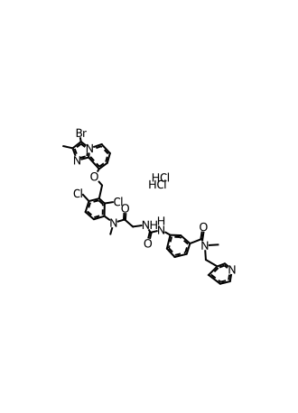 Cc1nc2c(OCc3c(Cl)ccc(N(C)C(=O)CNC(=O)Nc4cccc(C(=O)N(C)Cc5cccnc5)c4)c3Cl)cccn2c1Br.Cl.Cl